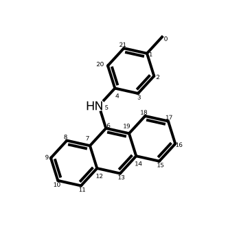 Cc1ccc(Nc2c3ccccc3cc3ccccc23)cc1